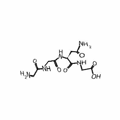 NCC(=O)NCC(=O)N[C@@H](CC(N)=O)C(=O)NCC(=O)O